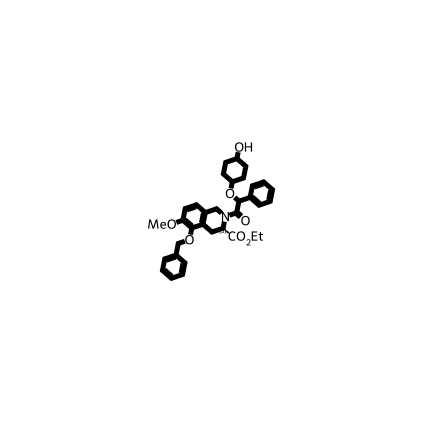 CCOC(=O)[C@@H]1Cc2c(ccc(OC)c2OCc2ccccc2)CN1C(=O)C(OC1CCC(O)CC1)c1ccccc1